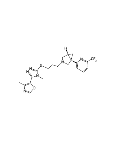 Cc1ncoc1-c1nnc(SCCCN2C[C@@H]3C[C@]3(c3cccc(C(F)(F)F)n3)C2)n1C